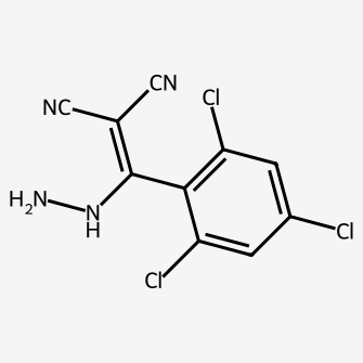 N#CC(C#N)=C(NN)c1c(Cl)cc(Cl)cc1Cl